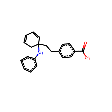 O=C(O)c1ccc(CCC2(Nc3ccccc3)C=CC=CC2)cc1